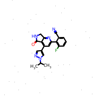 CC(C)n1cc(-c2cc(-c3c(F)cccc3C#N)nc3c2C(=O)NC3)cn1